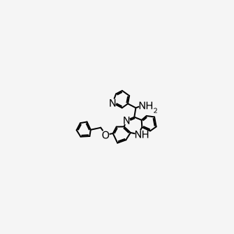 NC(C1=Nc2cc(OCc3ccccc3)ccc2Nc2ccccc21)c1cccnc1